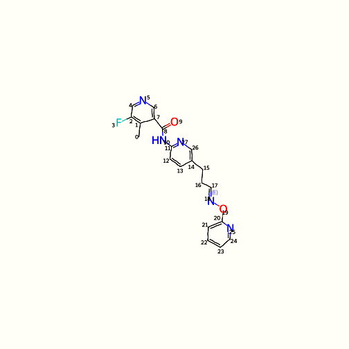 Cc1c(F)cncc1C(=O)Nc1ccc(CC/C=N/Oc2ccccn2)cn1